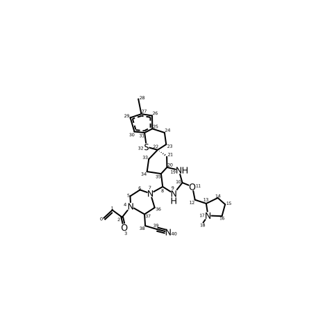 C=CC(=O)N1CCN(C2NC(OCC3CCCN3C)NC3C[C@]4(CCc5cc(C)ccc5S4)CCC32)CC1CC#N